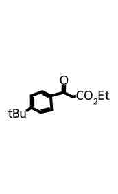 CCOC(=O)CC(=O)c1ccc(C(C)(C)C)cc1